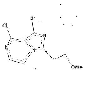 COCCc1nc(Br)c2c(Cl)nccn12